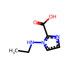 CCNn1ccnc1C(=O)O